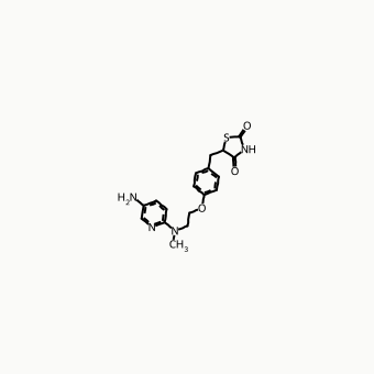 CN(CCOc1ccc(CC2SC(=O)NC2=O)cc1)c1ccc(N)cn1